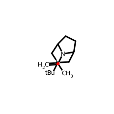 C=C(C)N1C2CCC1CN(C(C)(C)C)C2